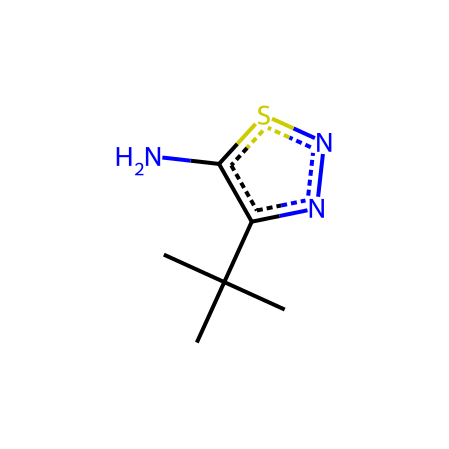 CC(C)(C)c1nnsc1N